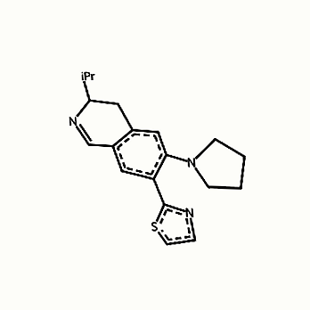 CC(C)C1Cc2cc(N3CCCC3)c(-c3nccs3)cc2C=N1